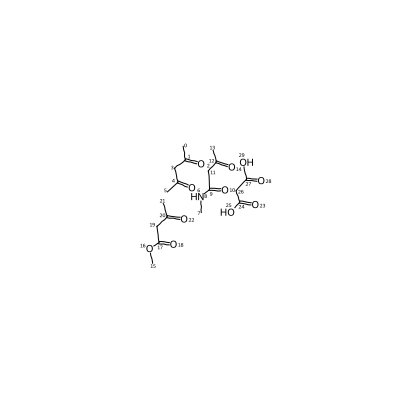 CC(=O)CC(C)=O.CNC(=O)CC(C)=O.COC(=O)CC(C)=O.O=C(O)CC(=O)O